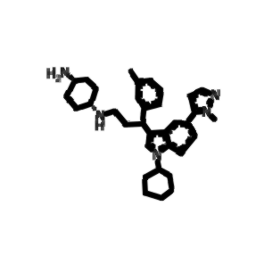 Cc1cccc(C(CCN[C@H]2CC[C@H](N)CC2)c2cn(C3CCCCC3)c3ccc(-c4ccnn4C)cc23)c1